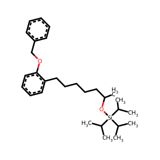 CC(CCCCCc1ccccc1OCc1ccccc1)O[Si](C(C)C)(C(C)C)C(C)C